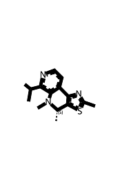 Cc1nc2c(s1)[C@H](C)N(C)c1c-2ccnc1C(C)C